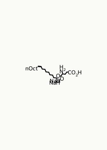 CCCCCCCC/C=C\CCCCCCCC(=O)OC(=O)C(N)CCC(=O)O.[NaH].[NaH]